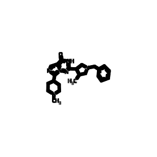 CC1CN(Cc2ccccc2)CC1c1nn2c(C3CCN(C)CC3)ncc2c(=O)[nH]1